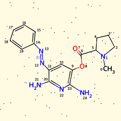 CN1CCCC1C(=O)Oc1cc(/N=N/c2ccccc2)c(N)nc1N